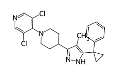 Cc1c(C2CCN(c3c(Cl)cncc3Cl)CC2)n[nH]c1C1(c2ccccc2)CC1